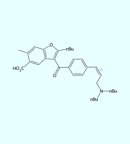 CCCCc1oc2cc(C)c(C(=O)O)cc2c1C(=O)c1ccc(/C=C\CN(CCCC)CCCC)cc1